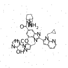 COc1cc(C(=O)N2CC3CCC2[SH]3N)cc2nc(-c3cc4cccnc4n3CC3CC3)n(Cc3cnn(-c4cccnc4O)c3)c12